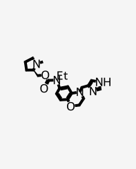 CCN(C(=O)OC[C@H]1CCCN1C)c1ccc2c(c1)N(Cc1c[nH]cn1)CCO2